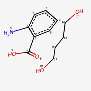 Nc1ccccc1C(=O)O.OCCCCO